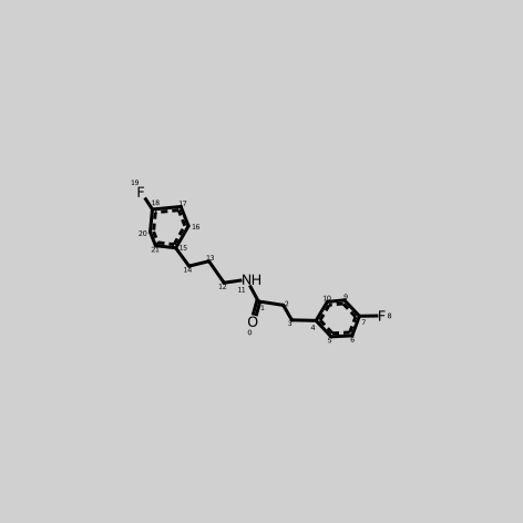 O=C(CCc1ccc(F)cc1)NCCCc1ccc(F)cc1